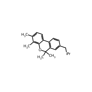 Cc1ccc2c(c1C)OC(C)(C)c1cc(CC(C)C)ccc1-2